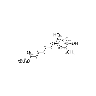 CC1O[C@@H](OCCCC=CC(=O)OC(C)(C)C)[C@H](O)C[C@H]1O